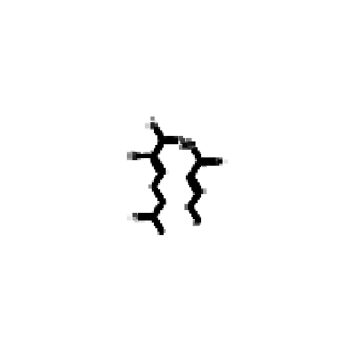 CC(=O)CCC=C(O)C(=O)O.CCC=CC(=O)O